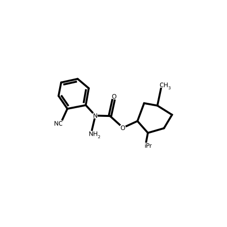 CC1CCC(C(C)C)C(OC(=O)N(N)c2ccccc2C#N)C1